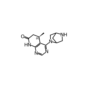 C[C@@H]1CC(=O)Nc2ncnc(N3CC4CC3CN4)c21